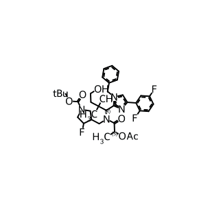 CC(=O)O[C@@H](C)C(=O)N(CC1CN(C(=O)OC(C)(C)C)CC1F)[C@@H](c1nc(-c2cc(F)ccc2F)cn1Cc1ccccc1)C(C)(C)CCO